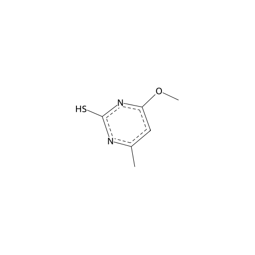 COc1cc(C)nc(S)n1